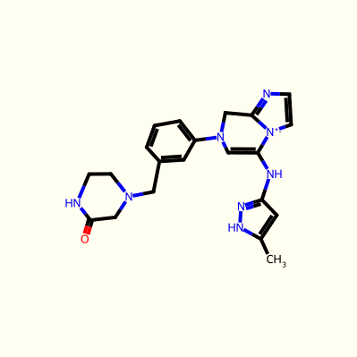 Cc1cc(NC2=CN(c3cccc(CN4CCNC(=O)C4)c3)CC3=NC=C[N+]23)n[nH]1